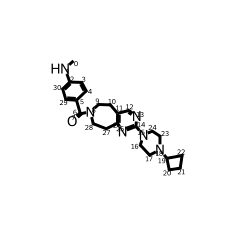 CNc1ccc(C(=O)N2CCc3cnc(N4CCN(C5CCC5)CC4)nc3CC2)cc1